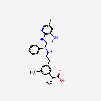 Cc1cc(CCN[C@H](c2ccccc2)[C@H]2CNc3cc(F)cnc3N2)cc([C@@H](C)C(=O)O)c1